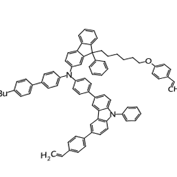 C=Cc1ccc(OCCCCCCC2(c3ccccc3)c3ccccc3-c3ccc(N(c4ccc(-c5ccc(C(C)(C)C)cc5)cc4)c4ccc(-c5ccc6c(c5)c5cc(-c7ccc(C=C)cc7)ccc5n6-c5ccccc5)cc4)cc32)cc1